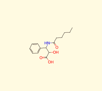 CCCCCC(=O)NC(c1ccccc1)C(O)C(=O)O